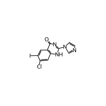 O=c1nc(-n2ccnc2)[nH]c2cc(Cl)c(I)cc12